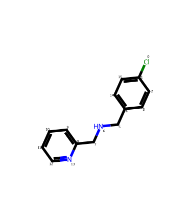 Clc1ccc(CNCc2ccccn2)cc1